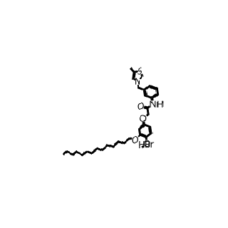 Br.CCCCCCCCCCCCCCOc1cc(OCC(=O)Nc2cccc(CN3C=C(C)SC3)c2)ccc1OC